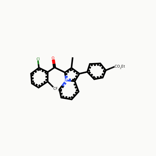 CCOC(=O)c1ccc(-c2c(C)c(C(=O)c3c(Cl)cccc3C(F)(F)F)n3ccccc23)cc1